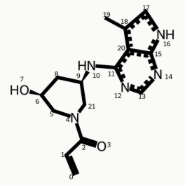 C=CC(=O)N1C[C@@H](O)C[C@@H](Nc2ncnc3[nH]cc(C)c23)C1